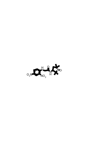 CC1(C)CC(NC(=O)CNc2ccc([N+](=O)[O-])cc2[N+](=O)[O-])C(C)(C)N1[O]